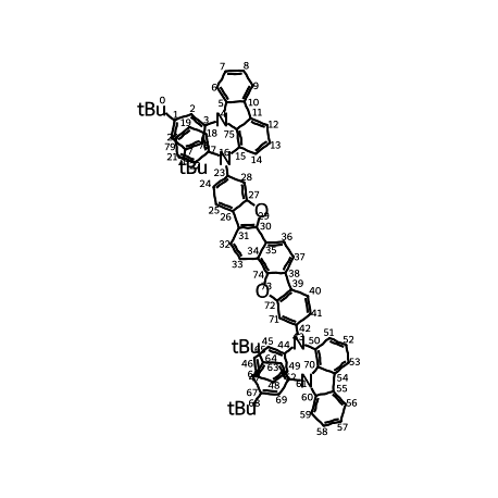 CC(C)(C)c1cc(-n2c3ccccc3c3cccc(N(c4ccccc4)c4ccc5c(c4)oc4c5ccc5c4ccc4c6ccc(N(c7ccccc7)c7cccc8c9ccccc9n(-c9cc(C(C)(C)C)cc(C(C)(C)C)c9)c78)cc6oc45)c32)cc(C(C)(C)C)c1